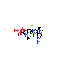 CN(C1CCNCC1)C1(C2CCN(c3c(F)cc4c(=O)c(C(=O)O)cn(C5CC5)c4c3Cl)C2)CC1